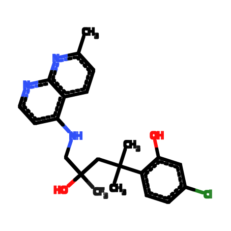 Cc1ccc2c(NCC(O)(CC(C)(C)c3ccc(Cl)cc3O)C(F)(F)F)ccnc2n1